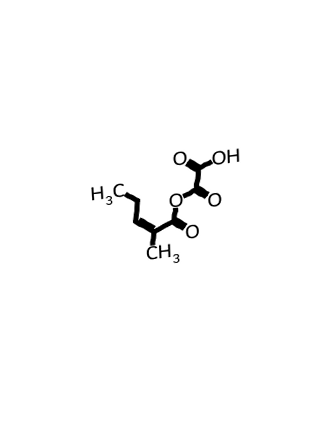 CCC=C(C)C(=O)OC(=O)C(=O)O